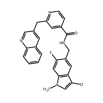 Cn1cc(Cl)c2cc(CNC(=O)c3ccnc(Cc4cnc5ccccc5c4)c3)c(F)cc21